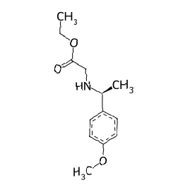 CCOC(=O)CN[C@@H](C)c1ccc(OC)cc1